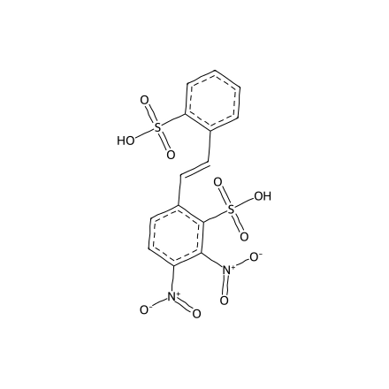 O=[N+]([O-])c1ccc(C=Cc2ccccc2S(=O)(=O)O)c(S(=O)(=O)O)c1[N+](=O)[O-]